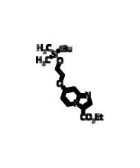 CCOC(=O)c1cnc2cc(OCCO[Si](C)(C)C(C)(C)C)ccn12